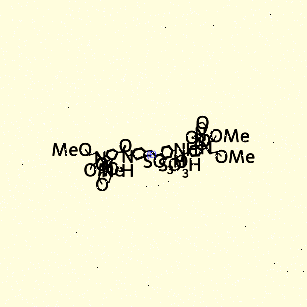 COCCN(CCOC)c1ccc(C(=O)Nc2ccc(/C=C/c3ccc(NC(=O)c4ccc(N(CCOC)CCOC)c(S(=O)(=O)N5CCOCC5)c4)cc3S(=O)(=O)O)c(S(=O)(=O)O)c2)cc1S(=O)(=O)N1CCOCC1